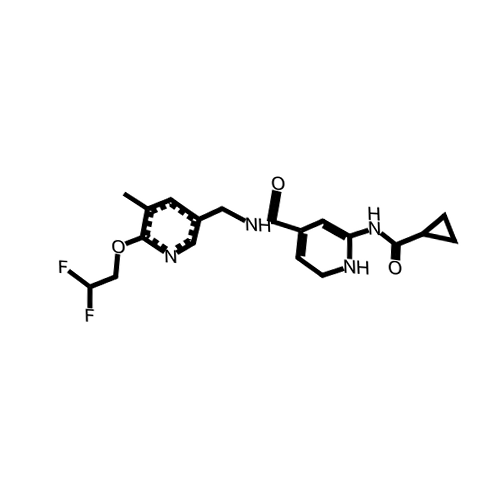 Cc1cc(CNC(=O)C2=CCNC(NC(=O)C3CC3)=C2)cnc1OCC(F)F